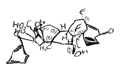 C[C@]12C=CC(=O)C=C1[C@@H](F)C[C@H]1[C@@H]3C[C@H]4C(C(=O)O)N(C(=O)c5ccccc5)C[C@@]4(C(=O)CO)[C@@]3(C)C[C@H](O)[C@@]12F